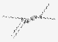 CCCCCCCCCCCCNC(CCN1CCN(CCN(CCCCCCCCC)CCCCCCCCC)CC1)CN(CCCCCCCCCCCC)CCCCCCCCCCCC